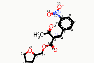 CC(=O)/C(=C\c1cccc([N+](=O)[O-])c1)C(=O)OCC1CCCO1